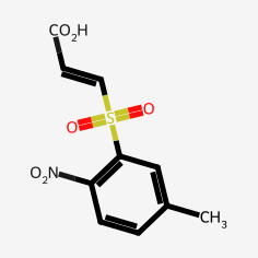 Cc1ccc([N+](=O)[O-])c(S(=O)(=O)C=CC(=O)O)c1